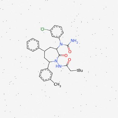 Cc1cccc(C2CC(c3ccccc3)CC(N(C(N)=O)c3cccc(Cl)c3)C(=O)N2NC(=O)CC(C)(C)C)c1